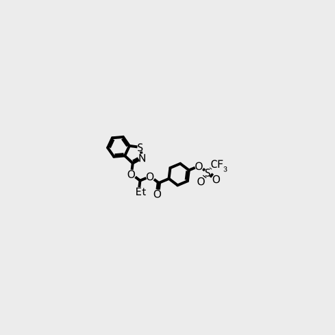 CCC(OC(=O)C1CC=C(OS(=O)(=O)C(F)(F)F)CC1)Oc1nsc2ccccc12